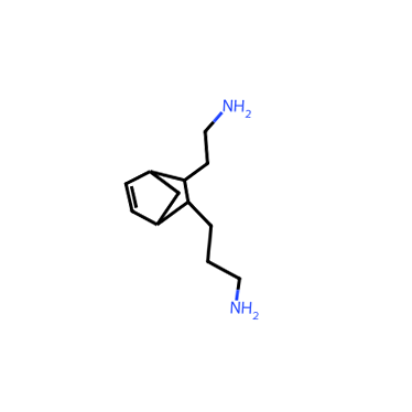 NCCCC1C2C=CC(C2)C1CCN